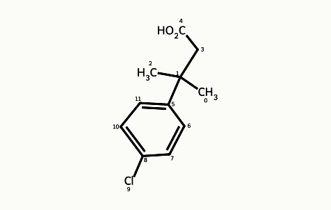 CC(C)(CC(=O)O)c1ccc(Cl)cc1